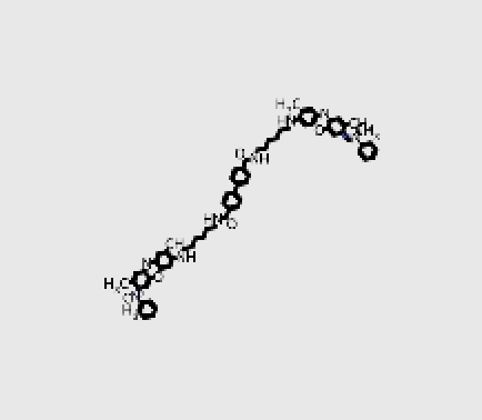 Cc1cc2c(cc1NCCCCCCNC(=O)c1ccc(-c3ccc(C(=O)NCCCCCCNc4cc5oc6c/c(=[N+](/C)c7ccccc7)c(C)cc-6nc5cc4C)cc3)cc1)Oc1c/c(=C/N(C)c3ccccc3)c(C)cc1=N2